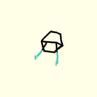 FC1C2CCC(CC2)C1F